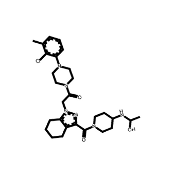 Cc1cccc(N2CCN(C(=O)Cn3nc(C(=O)N4CCC(NC(C)O)CC4)c4c3CCCC4)CC2)c1Cl